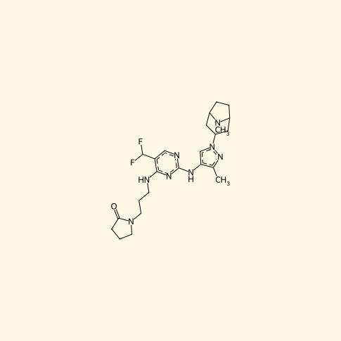 Cc1nn(C2CC3CCC(C2)N3C)cc1Nc1ncc(C(F)F)c(NCCCN2CCCC2=O)n1